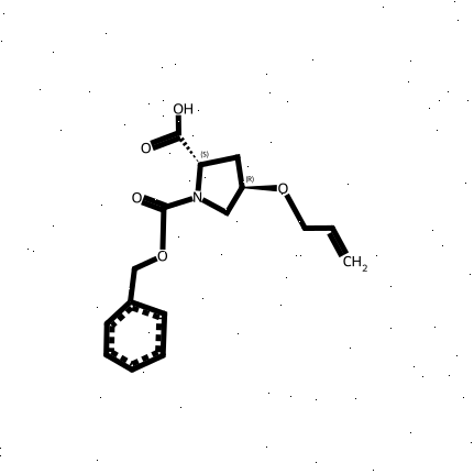 C=CCO[C@@H]1C[C@@H](C(=O)O)N(C(=O)OCc2ccccc2)C1